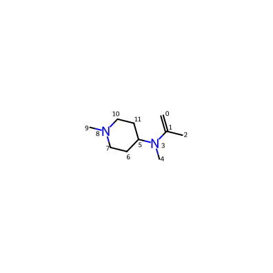 C=C(C)N(C)C1CCN(C)CC1